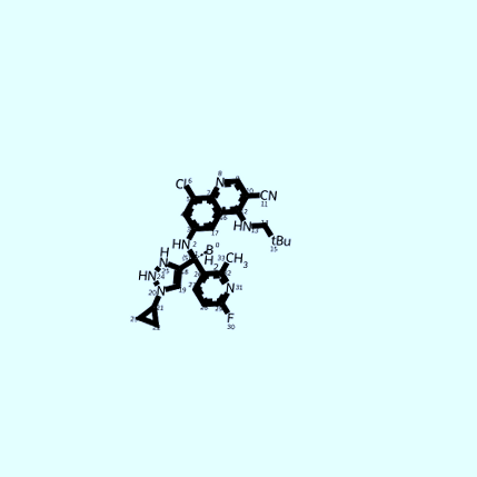 B[C@@](Nc1cc(Cl)c2ncc(C#N)c(NCC(C)(C)C)c2c1)(C1=CN(C2CC2)NN1)c1ccc(F)nc1C